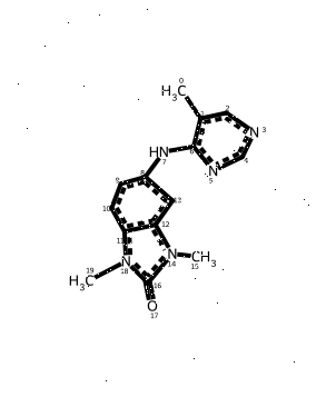 Cc1cncnc1Nc1ccc2c(c1)n(C)c(=O)n2C